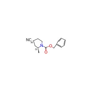 C[C@H]1C[C@H](C#N)CCN1C(=O)OCc1ccccc1